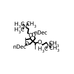 CCCCCCCCCCOCC(COCCCCCCCCCC)(C(I)OCC[N+](C)(C)C)C(I)OCC[N+](C)(C)C